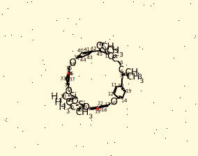 CC1(C)CCCCC(C)(C)c2ccc(cc2)Oc2ccc(cc2)O[Si](C)(C)O[Si](C)(C)Oc2ccc(cc2)Oc2ccc(cc2)C1=O